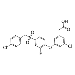 O=C(O)Cc1cc(Cl)cc(Oc2ccc(S(=O)(=O)Cc3ccc(Cl)cc3)cc2F)c1